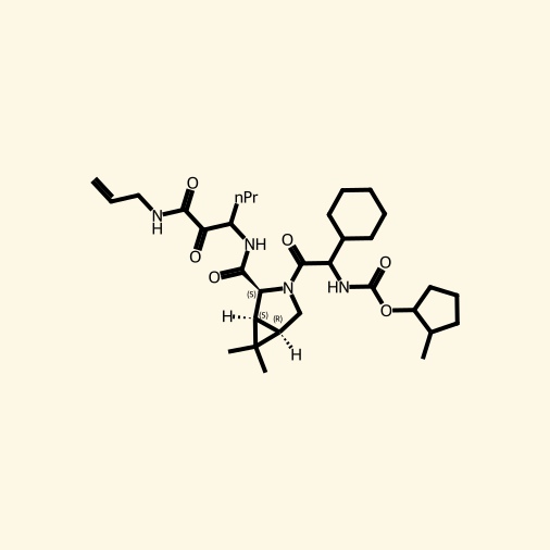 C=CCNC(=O)C(=O)C(CCC)NC(=O)[C@@H]1[C@H]2[C@@H](CN1C(=O)C(NC(=O)OC1CCCC1C)C1CCCCC1)C2(C)C